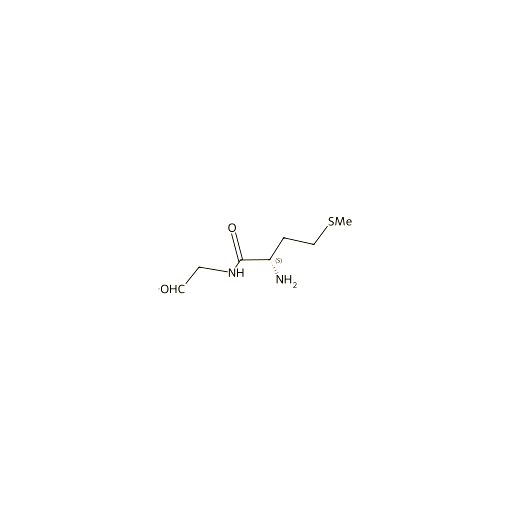 CSCC[C@H](N)C(=O)NC[C]=O